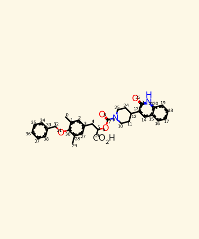 Cc1cc(CC(OC(=O)N2CCC(c3cc4ccccc4[nH]c3=O)CC2)C(=O)O)cc(C)c1OCc1ccccc1